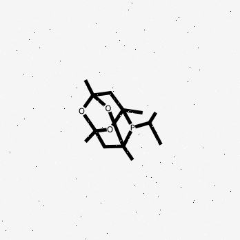 CC(C)P1C2(C)CC3(C)OC(C)(CC1(C)O3)O2